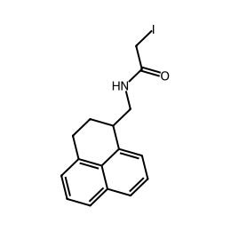 O=C(CI)NCC1CCc2cccc3cccc1c23